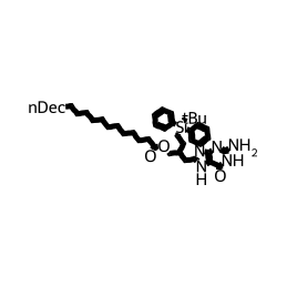 CCCCCCCCCCCCCCCCCCCCCC(=O)OCC(CC[Si](c1ccccc1)(c1ccccc1)C(C)(C)C)Cc1nc2nc(N)[nH]c(=O)c2[nH]1